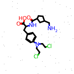 NCC1CCC(C(=O)NC(Cc2ccc(N(CCCl)CCCl)cc2)C(=O)O)C1